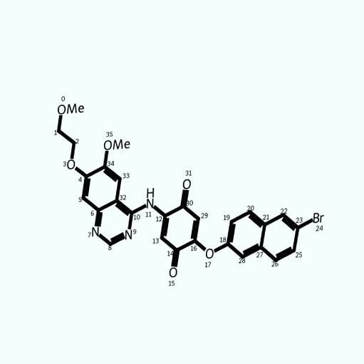 COCCOc1cc2ncnc(NC3=CC(=O)C(Oc4ccc5cc(Br)ccc5c4)=CC3=O)c2cc1OC